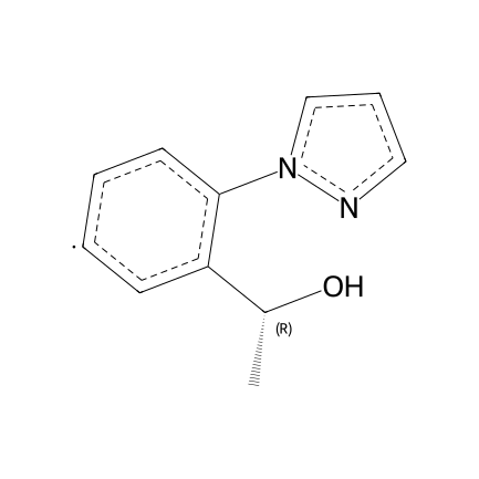 C[C@@H](O)c1c[c]ccc1-n1cccn1